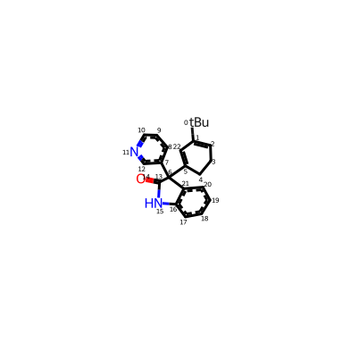 CC(C)(C)C1=CCCC(C2(c3cccnc3)C(=O)Nc3ccccc32)=C1